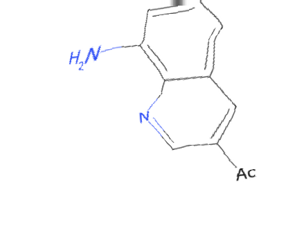 CC(=O)c1cnc2c(N)cccc2c1